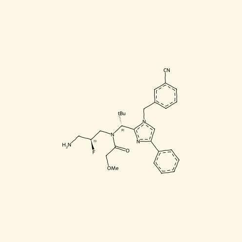 COCC(=O)N(C[C@@H](F)CN)[C@@H](c1nc(-c2ccccc2)cn1Cc1cccc(C#N)c1)C(C)(C)C